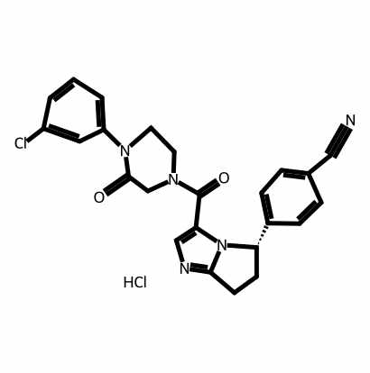 Cl.N#Cc1ccc([C@@H]2CCc3ncc(C(=O)N4CCN(c5cccc(Cl)c5)C(=O)C4)n32)cc1